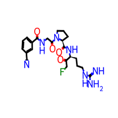 N#Cc1cccc(C(=O)NCC(=O)N2CCC[C@H]2C(=O)N[C@@H](CCCNC(=N)N)C(=O)CF)c1